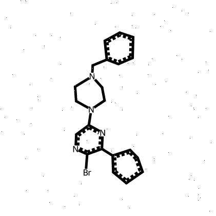 Brc1ncc(N2CCN(Cc3ccccc3)CC2)nc1-c1ccccc1